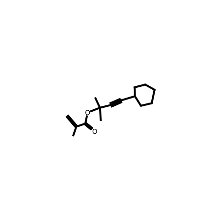 C=C(C)C(=O)OC(C)(C)C#CC1CCCCC1